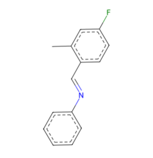 Cc1cc(F)ccc1/C=N/c1ccccc1